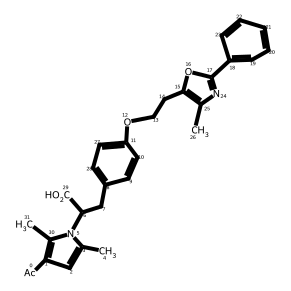 CC(=O)c1cc(C)n(C(Cc2ccc(OCCc3oc(-c4ccccc4)nc3C)cc2)C(=O)O)c1C